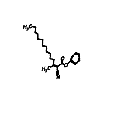 CCCCCCCCCCCCC(C)=C(C#N)C(=O)Oc1ccccc1